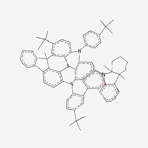 CC(C)(C)c1ccc(N2c3cc(N4c5ccccc5C5(C)CCCCC45C)cc4c3B3c5c(ccc6c5C(C)(c5ccccc5-6)c5c(C(C)(C)C)ccc2c53)N4c2ccc(C(C)(C)C)cc2-c2ccccc2)cc1